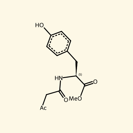 COC(=O)[C@H](Cc1ccc(O)cc1)NC(=O)CC(C)=O